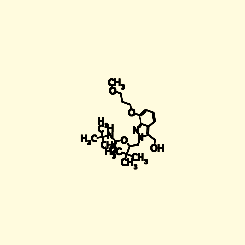 COCCCOc1cccc2c(CO)n(C[C@H](OC(=O)NC(C)(C)C)C(C)(C)C)nc12